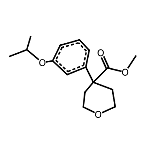 COC(=O)C1(c2cccc(OC(C)C)c2)CCOCC1